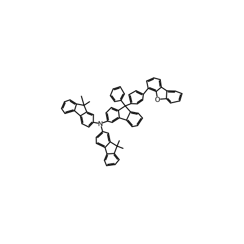 CC1(C)c2ccccc2-c2ccc(N(c3ccc4c(c3)-c3ccccc3C4(c3ccccc3)c3ccc(-c4cccc5c4oc4ccccc45)cc3)c3ccc4c(c3)C(C)(C)c3ccccc3-4)cc21